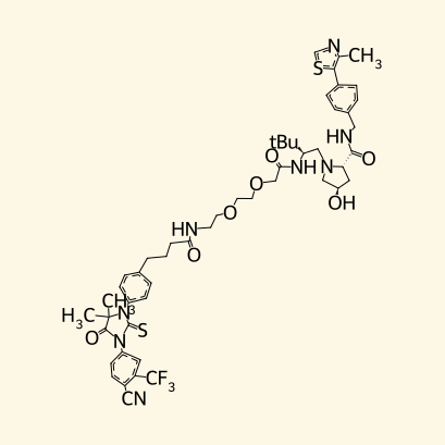 Cc1ncsc1-c1ccc(CNC(=O)[C@@H]2C[C@@H](O)CN2C[C@@H](NC(=O)COCCOCCNC(=O)CCCc2ccc(N3C(=S)N(c4ccc(C#N)c(C(F)(F)F)c4)C(=O)C3(C)C)cc2)C(C)(C)C)cc1